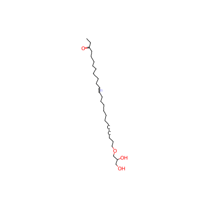 CCC(=O)CCCCCCCC/C=C/CCCCCCCCCCCCOCC(O)CO